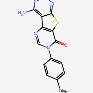 COc1ccc(-n2cnc3c(sc4ncnc(N)c43)c2=O)cc1